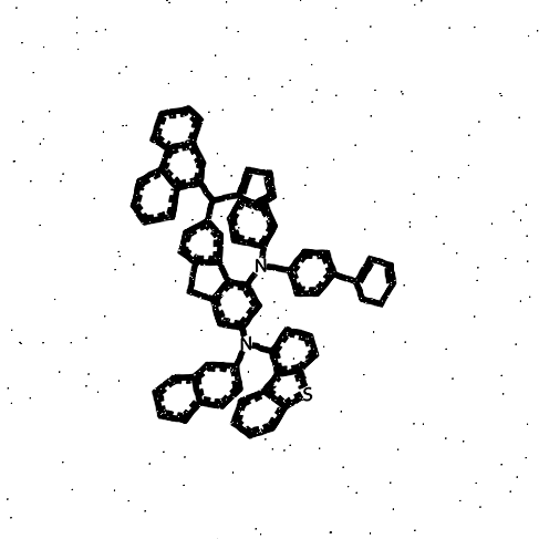 C1=CC=C(C(c2ccc3c(c2)-c2c(cc(N(c4ccc5ccccc5c4)c4cccc5sc6ccccc6c45)cc2N(c2ccccc2)c2ccc(C4=CC=CCC4)cc2)C3)c2cc3ccccc3c3ccccc23)C=1